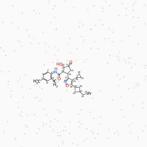 Cc1ccc(NC(=O)C2C(O)C(=O)CC2c2noc(C3CC(CC(C)C)C3)c2C2CC2)c(C)c1